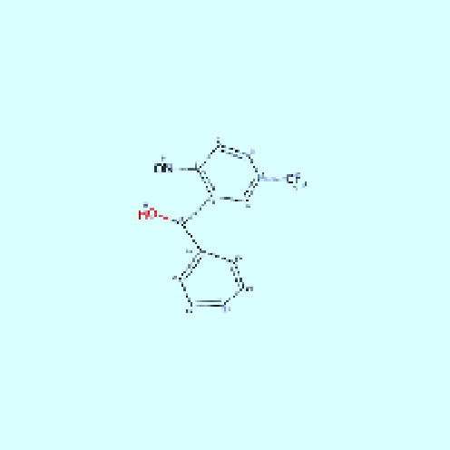 O=Nc1ccc(C(F)(F)F)cc1C(O)c1ccccc1